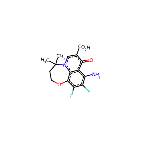 CC1(C)CCOc2c(F)c(F)c(N)c3c(=O)c(C(=O)O)cn1c23